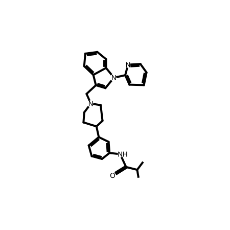 CC(C)C(=O)Nc1cccc(C2CCN(Cc3cn(-c4ccccn4)c4ccccc34)CC2)c1